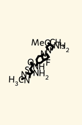 COC1(C)CN(c2cc(F)c3c(n2)CCC(NC(=O)c2sc4nc(C)ncc4c2N)C3)CC1N